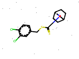 S=C(SCc1ccc(Cl)c(Cl)c1)N1CC2CCC(CC2)C1